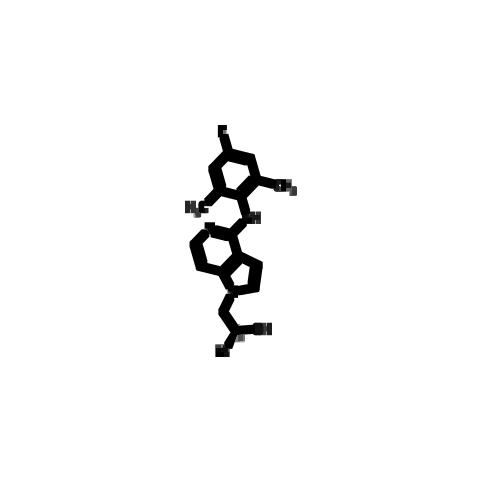 CC[C@H](O)Cn1ccc2c(Nc3c(C)cc(F)cc3C)nccc21